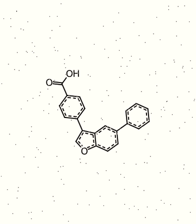 O=C(O)c1ccc(-c2coc3ccc(-c4ccccc4)cc23)cc1